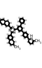 CC1=CC=CC(c2ccc(-c3cc(-c4ccccc4)cc(-c4nc(C5=CCC6C=CC=CC6=C5)nc(-c5ccc6c(c5)CC(C)C=C6)n4)c3)cc2)N1